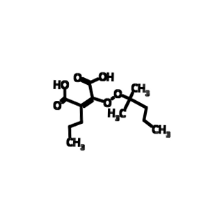 CCCC(C(=O)O)=C(OOC(C)(C)CCC)C(=O)O